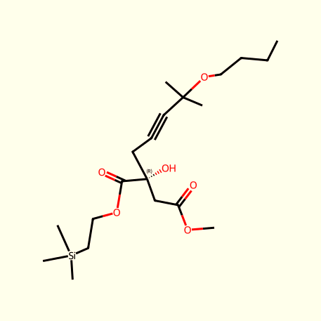 CCCCOC(C)(C)C#CC[C@@](O)(CC(=O)OC)C(=O)OCC[Si](C)(C)C